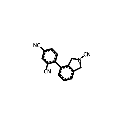 N#Cc1ccc(-c2cccc3c2CN(C#N)C3)c(C#N)c1